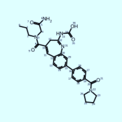 CCCN(CC(N)=O)C(=O)C1=Cc2ccc(-c3ccc(C(=O)N4CCCC4)cc3)cc2N=C(NC(=O)O)C1